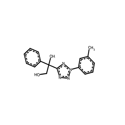 Cc1cccc(-n2nnc(C(O)(CO)c3ccccc3)n2)c1